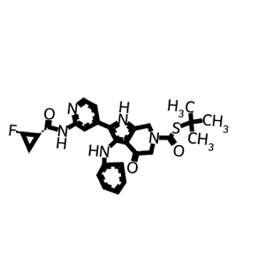 CC(C)(C)SC(=O)N1CC(=O)c2c([nH]c(-c3ccnc(NC(=O)[C@@H]4C[C@@H]4F)c3)c2Nc2ccccc2)C1